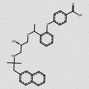 CC(OC[C@H](O)CNC(C)(C)Cc1ccc2ccccc2c1)c1ccccc1Sc1ccc(C(=O)O)cc1